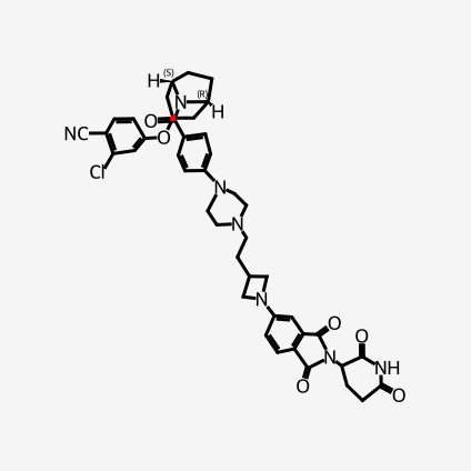 N#Cc1ccc(OC2C[C@H]3CC[C@@H](C2)N3C(=O)c2ccc(N3CCN(CCC4CN(c5ccc6c(c5)C(=O)N(C5CCC(=O)NC5=O)C6=O)C4)CC3)cc2)cc1Cl